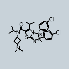 CC(C)C1=C(C(=O)N(C(C)C)[C@H]2C[C@H](N(C)C)C2)SC2=N[C@@](C)(c3ccc(Cl)cc3)[C@@H](c3ccc(Cl)cc3)N21